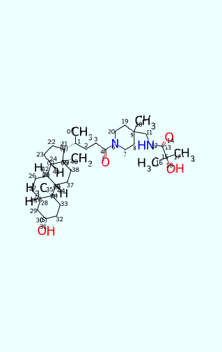 CC(CCC(=O)N1CCC(C)(CNC(=O)C(C)(C)O)CC1)[C@H]1CC[C@H]2[C@@H]3CC[C@H]4C[C@@H](O)CC[C@]4(C)[C@H]3CC[C@]12C